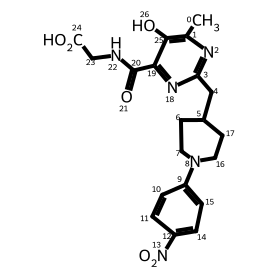 Cc1nc(CC2CCN(c3ccc([N+](=O)[O-])cc3)CC2)nc(C(=O)NCC(=O)O)c1O